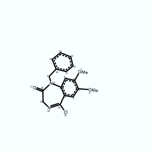 COc1cc2c(cc1OC)N(Cc1ccccc1)C(=O)CN=C2Cl